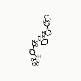 CC(C)(C)OC(=O)Nc1cccc(-c2cnc(N[C@@H]3CCCC[C@H]3N[C@H]3CCCN(c4cnc(C(F)(F)F)nc4)C3)o2)c1